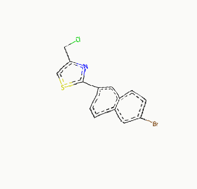 ClCc1csc(-c2ccc3cc(Br)ccc3c2)n1